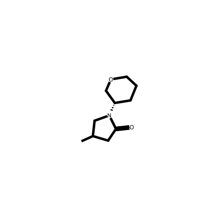 CC1CC(=O)N([C@H]2CCCOC2)C1